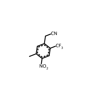 Cc1cc(CC#N)c(C(F)(F)F)cc1[N+](=O)[O-]